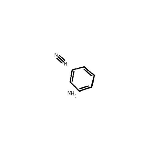 N.N#N.c1ccccc1